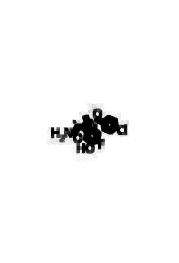 Cc1c([C@@H](C)C(N)=O)c2cc(O)c(F)cc2n1C(=O)c1ccc(Cl)cc1